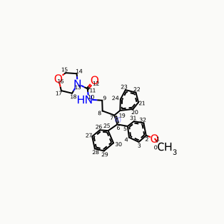 COc1ccc(/C(=C(/CCNC(=O)N2CCOCC2)c2ccccc2)c2ccccc2)cc1